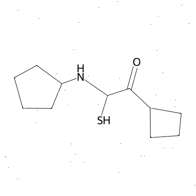 O=C(C1CCC1)C(S)NC1CCCC1